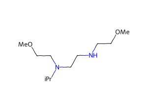 COCCNCCN(CCOC)C(C)C